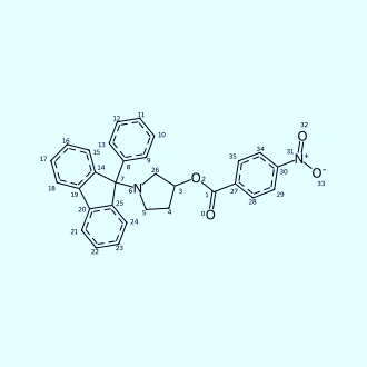 O=C(OC1CCN(C2(c3ccccc3)c3ccccc3-c3ccccc32)C1)c1ccc([N+](=O)[O-])cc1